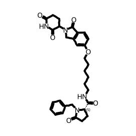 O=C1CCC(N2Cc3cc(OCCCCCCNC(=O)[C@@H]4CCC(=O)N4Cc4ccccc4)ccc3C2=O)C(=O)N1